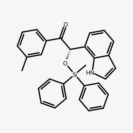 Cc1cccc(C(=O)[C@@H](O[Si](C)(c2ccccc2)c2ccccc2)c2cccc3cc[nH]c23)c1